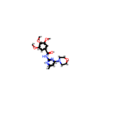 COc1cc(C(=O)Nc2nc(C)cc(N3CCOCC3)n2)cc(OC)c1OC